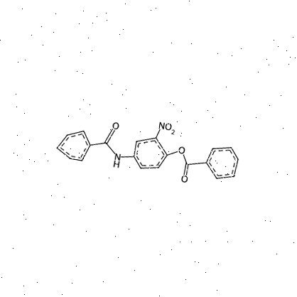 O=C(Nc1ccc(OC(=O)c2ccccc2)c([N+](=O)[O-])c1)c1ccccc1